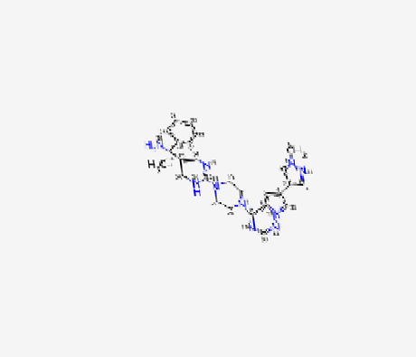 Cn1cc(-c2cc3c(N4CCN(C5=NC=C([C@@](C)(N)c6ccccc6)CN5)CC4)ncnn3c2)cn1